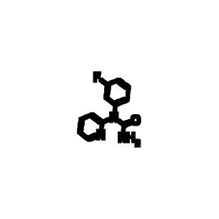 NC(=O)N(c1cccc(F)c1)c1ccccn1